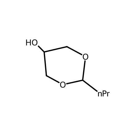 CCCC1OCC(O)CO1